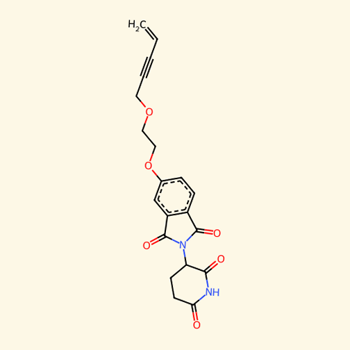 C=CC#CCOCCOc1ccc2c(c1)C(=O)N(C1CCC(=O)NC1=O)C2=O